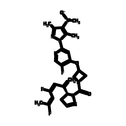 C=C(/C=C(F)\C=C(/C)F)[C@@H]1CC=NN1C(=O)N1CC(Oc2cc(-n3nc(C)c([S+](C)[O-])c3C)ncc2F)C1